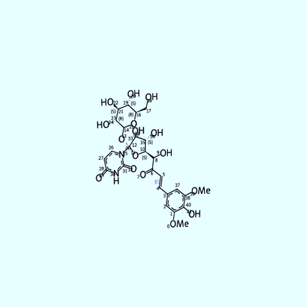 COc1cc(/C=C/C(=O)C(O)[C@H]2O[C@@](OC3O[C@H](CO)[C@@H](O)[C@H](O)[C@H]3O)(n3ccc(=O)[nH]c3=O)[C@H](O)[C@@H]2O)cc(OC)c1O